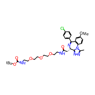 COc1ccc2c(c1)C(c1ccc(Cl)cc1)=N[C@@H](CC(=O)NCCOCCOCCOCCNC(=O)OC(C)(C)C)c1nnc(C)n1-2